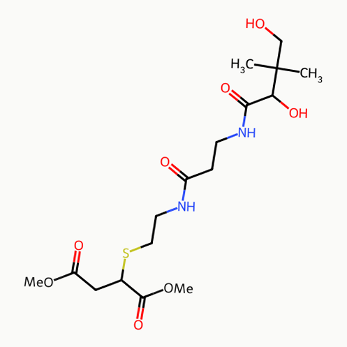 COC(=O)CC(SCCNC(=O)CCNC(=O)C(O)C(C)(C)CO)C(=O)OC